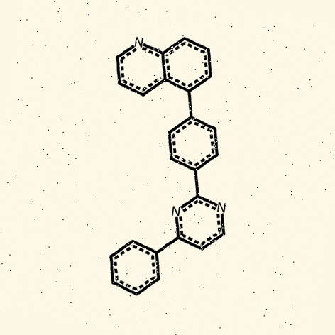 c1ccc(-c2ccnc(-c3ccc(-c4cccc5ncccc45)cc3)n2)cc1